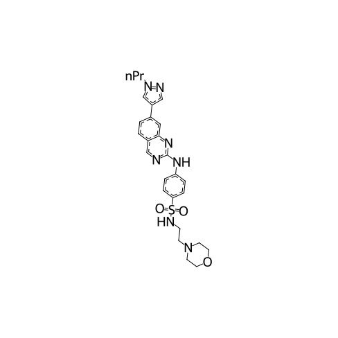 CCCn1cc(-c2ccc3cnc(Nc4ccc(S(=O)(=O)NCCN5CCOCC5)cc4)nc3c2)cn1